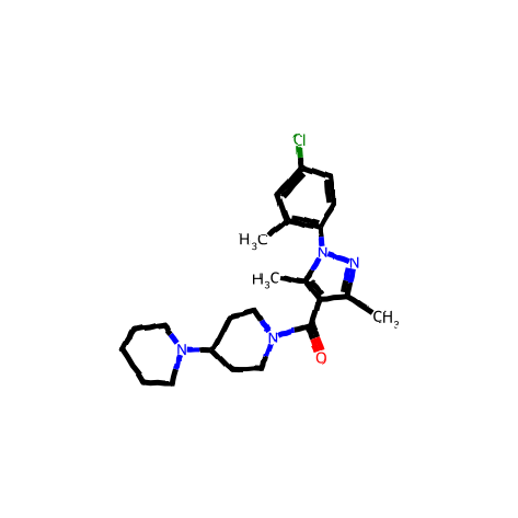 Cc1cc(Cl)ccc1-n1nc(C)c(C(=O)N2CCC(N3CCCCC3)CC2)c1C